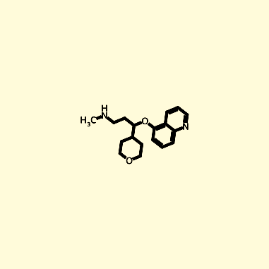 CNCCC(Oc1cccc2ncccc12)C1CCOCC1